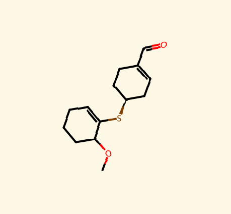 COC1CCCC=C1S[C@@H]1CC=C(C=O)CC1